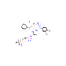 CC(C)(CO[Si](C)(C)C(C)(C)C)c1noc(-c2cnc(Nc3ccc4c(c3)C(C)(C)OC4=O)nc2NC(CO[Si](C)(C)C(C)(C)C)c2ccccc2)n1